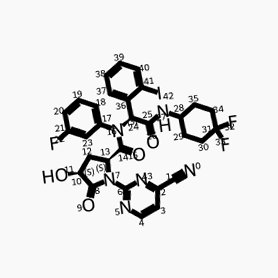 N#Cc1ccnc(N2C(=O)[C@@H](O)C[C@H]2C(=O)N(c2cccc(F)c2)[C@H](C(=O)NC2CCC(F)(F)CC2)c2ccccc2I)n1